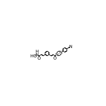 N#Cc1ccc(N2CCN(C(=O)C=Cc3cccc(C=CC(=O)NO)c3)CC2)cc1